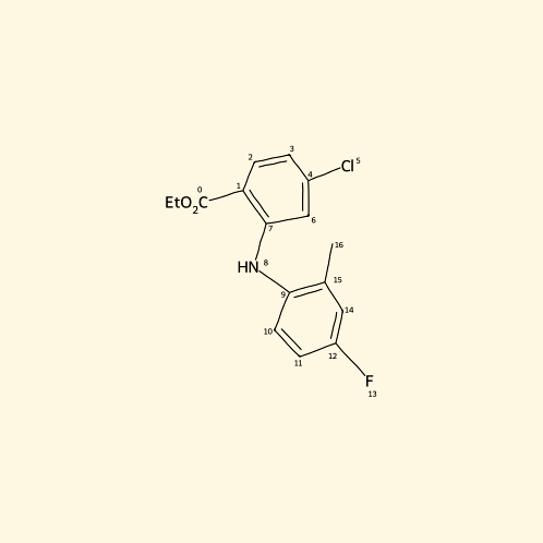 CCOC(=O)c1ccc(Cl)cc1Nc1ccc(F)cc1C